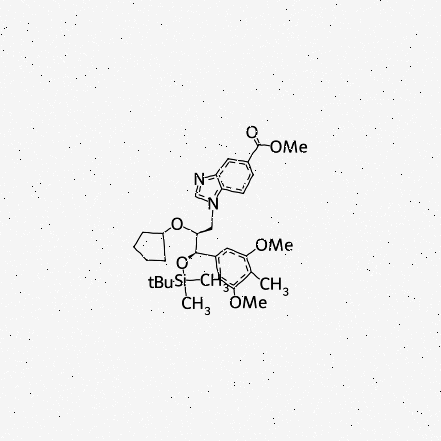 COC(=O)c1ccc2c(c1)ncn2C[C@H](OC1CCCC1)[C@H](O[Si](C)(C)C(C)(C)C)c1cc(OC)c(C)c(OC)c1